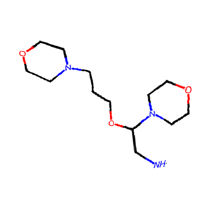 [NH]CC(OCCCN1CCOCC1)N1CCOCC1